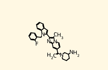 C=C(c1ccn2c(C)c(-c3cc4ccccc4n3Cc3ccccc3F)nc2c1)N1CCCC(N)C1